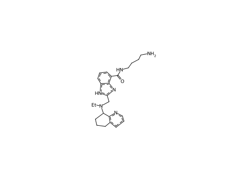 CCN(Cc1nc2c(C(=O)NCCCCN)cccc2[nH]1)C1CCCc2cccnc21